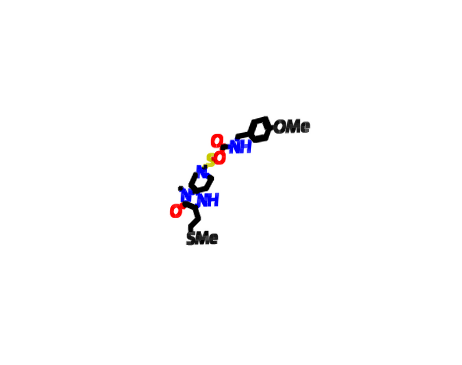 COc1ccc(CNC(=O)OSN2CCC3(CC2)NC(CCSC)C(=O)N3C)cc1